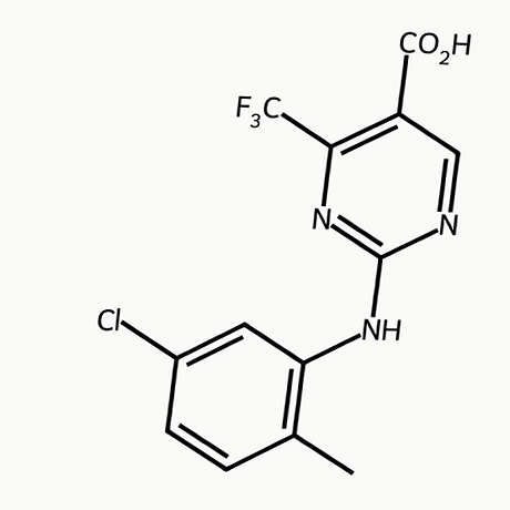 Cc1ccc(Cl)cc1Nc1ncc(C(=O)O)c(C(F)(F)F)n1